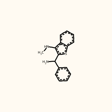 CNc1c(C(N)c2ccccc2)sc2ccccc12